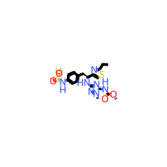 CCc1nc([C@H](Cc2ccc(N[SH](=O)=O)cc2)Nc2nc(NC(=O)OC)n(C)n2)cs1